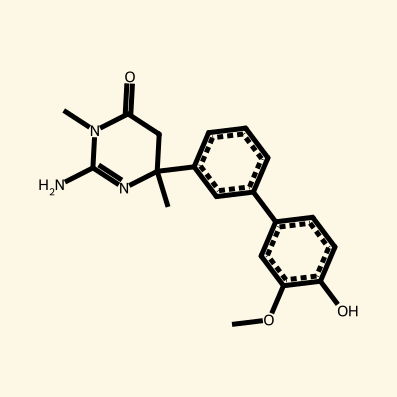 COc1cc(-c2cccc(C3(C)CC(=O)N(C)C(N)=N3)c2)ccc1O